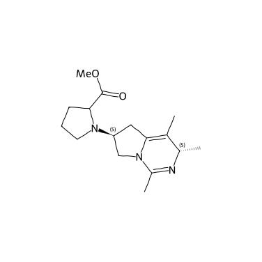 COC(=O)C1CCCN1[C@H]1CC2=C(C)[C@H](C)N=C(C)N2C1